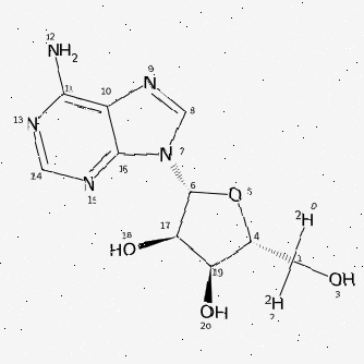 [2H]C([2H])(O)[C@H]1O[C@@H](n2cnc3c(N)ncnc32)[C@H](O)[C@@H]1O